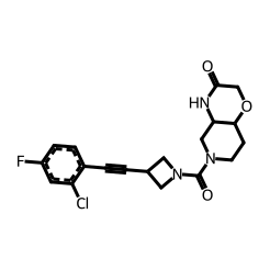 O=C1COC2CCN(C(=O)N3CC(C#Cc4ccc(F)cc4Cl)C3)CC2N1